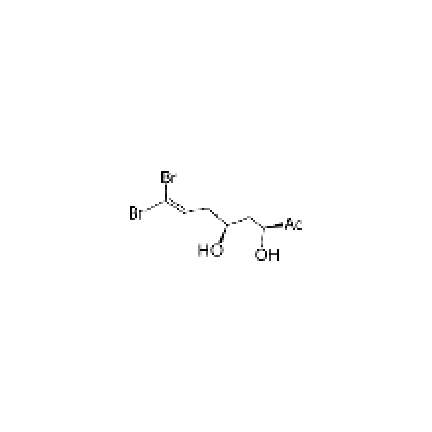 CC(=O)[C@@H](O)C[C@@H](O)CC=C(Br)Br